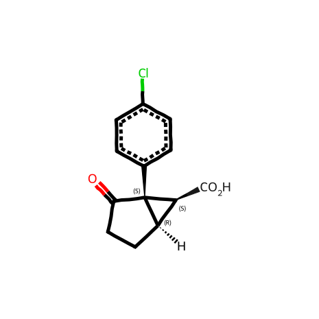 O=C(O)[C@H]1[C@H]2CCC(=O)[C@@]21c1ccc(Cl)cc1